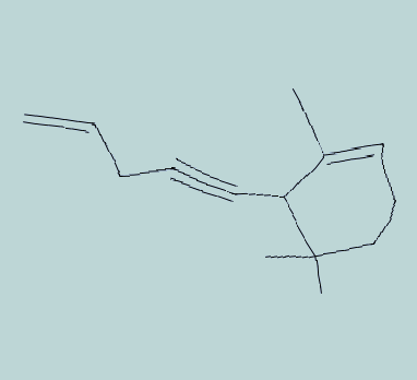 C=CCC#CC1C(C)=CCCC1(C)C